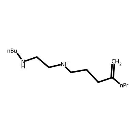 C=C(CCC)CCCNCCNCCCC